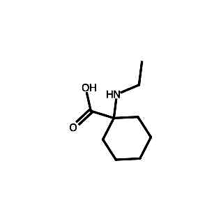 CCNC1(C(=O)O)CCCCC1